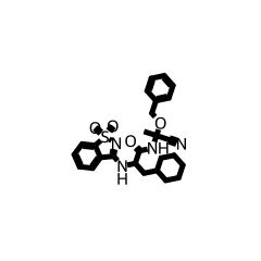 CC(C#N)(NC(=O)C(CC1CCCCC1)NC1=NS(=O)(=O)c2ccccc21)OCc1ccccc1